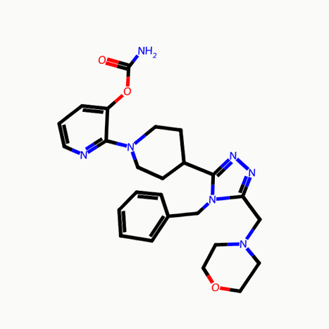 NC(=O)Oc1cccnc1N1CCC(c2nnc(CN3CCOCC3)n2Cc2ccccc2)CC1